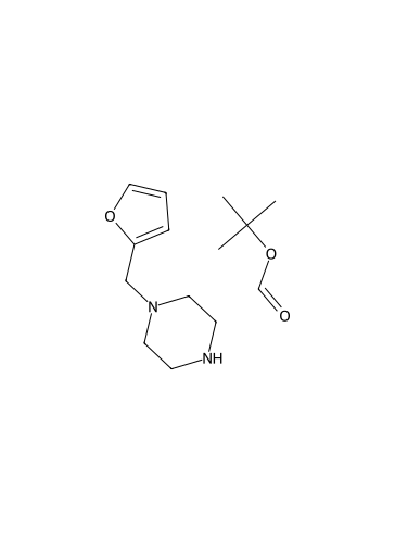 CC(C)(C)OC=O.c1coc(CN2CCNCC2)c1